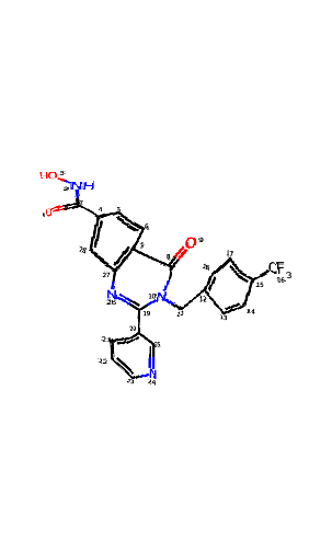 O=C(NO)c1ccc2c(=O)n(Cc3ccc(C(F)(F)F)cc3)c(-c3cccnc3)nc2c1